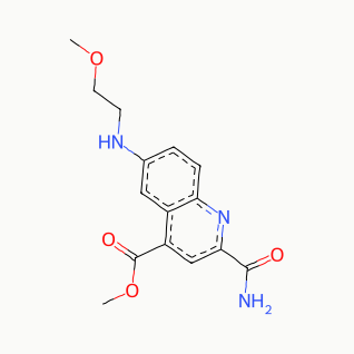 COCCNc1ccc2nc(C(N)=O)cc(C(=O)OC)c2c1